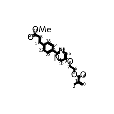 C=C(C)C(=O)OCCOc1cnc(-c2ccc(C=CC(=O)OC)cc2)nc1